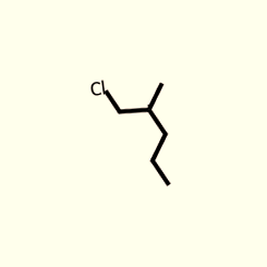 CCC[C](C)CCl